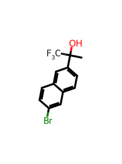 CC(O)(c1ccc2cc(Br)ccc2c1)C(F)(F)F